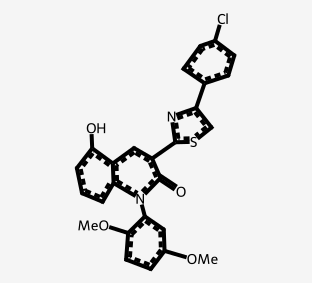 COc1ccc(OC)c(-n2c(=O)c(-c3nc(-c4ccc(Cl)cc4)cs3)cc3c(O)cccc32)c1